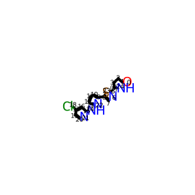 O=C1CC[C@@H](c2ncc(-c3cccc(Nc4cc(Cl)ccn4)n3)s2)N1